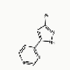 CC(C)c1cc(-c2ccncn2)[nH]n1